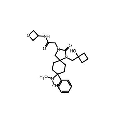 CN(C)C1(c2ccccc2)CCC2(CC1)CN(CC(=O)NC1COC1)C(=O)N2CC1(O)CCC1